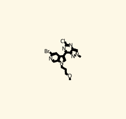 COCCCn1cc(-c2nc(Cl)nc3cn(C)nc23)c2cc(Br)ncc21